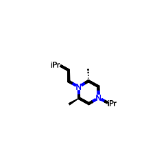 CC(C)CCN1[C@H](C)CN(C(C)C)C[C@H]1C